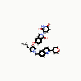 COC[C@@H]1CN(Cc2ccc3nc(C4CCOCC4)ccc3c2)C[C@H]1Oc1ccc2c(c1)CN(C1CCC(=O)NC1=O)C2=O